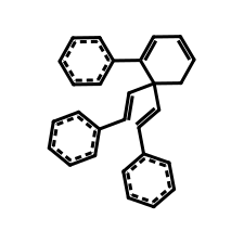 C1=CCC(C=Cc2ccccc2)(C=Cc2ccccc2)C(c2ccccc2)=C1